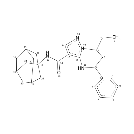 CCC1CC(c2ccccc2)Nc2c(C(=O)NC34CC5CC(CC(C5)C3)C4)cnn21